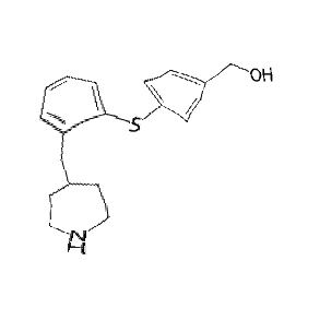 OCc1ccc(Sc2ccccc2C2CCNCC2)cc1